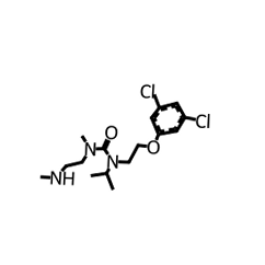 CNCCN(C)C(=O)N(CCOc1cc(Cl)cc(Cl)c1)C(C)C